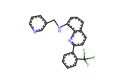 FC(F)(F)c1ccccc1-c1ccc2cccc(NCc3cccnc3)c2n1